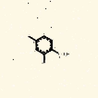 [CH]c1cc(C)ccc1C(=O)O